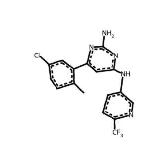 Cc1ccc(Cl)cc1-c1cc(Nc2ccc(C(F)(F)F)nc2)nc(N)n1